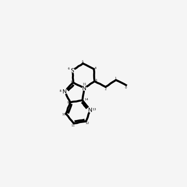 CCCC1CCSc2nc3cccnc3n21